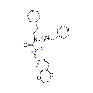 O=C1/C(=C/c2ccc3c(c2)OCCO3)S/C(=N\Cc2ccccc2)N1CCc1ccccc1